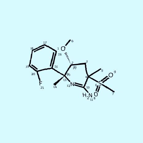 CO[C@@H]1CC(C)(S(C)(=O)=O)C(N)=N[C@]1(C)c1ccccc1F